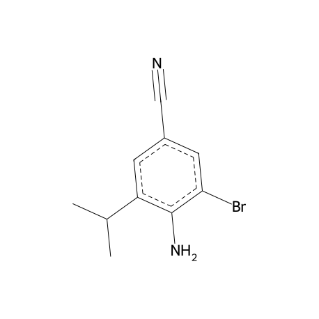 CC(C)c1cc(C#N)cc(Br)c1N